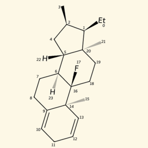 CC[C@@H]1[C@H](C)C[C@H]2[C@@H]3CCC4=CCC=C[C@]4(C)[C@@]3(F)CC[C@]12C